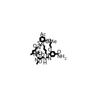 CCc1nc(C)oc1C(=O)Nc1nc2cc(C(N)=O)cc(OCCCO)c2n1C/C=C/Cn1/c(=N/C(=O)c2cc(C)nn2CC)sc2cc(C(C)=O)cc(OC)c21